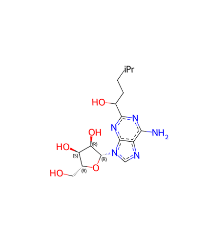 CC(C)CCC(O)c1nc(N)c2ncn([C@@H]3O[C@H](CO)[C@@H](O)[C@H]3O)c2n1